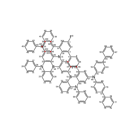 Fc1cc(-c2ccccc2)c(N2c3cc4c(cc3B3c5ccccc5N(c5ccccc5)c5cc(N(c6ccccc6)c6ccccc6)cc2c53)B2c3ccccc3N(c3ccccc3)c3cc(N(c5ccc(-c6ccccc6)cc5)c5ccc(-c6ccccc6)cc5)cc(c32)S4)c(-c2ccccc2)c1